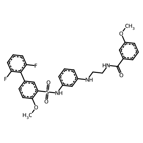 COc1cccc(C(=O)NCCNc2cccc(NS(=O)(=O)c3cc(-c4c(F)cccc4F)ccc3OC)c2)c1